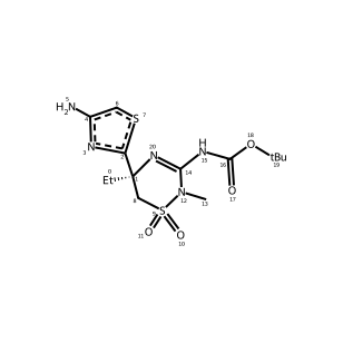 CC[C@@]1(c2nc(N)cs2)CS(=O)(=O)N(C)C(NC(=O)OC(C)(C)C)=N1